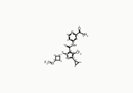 NC(=O)c1cc(NC(=O)c2c(C(F)(F)F)c(C3CC3)nn2C[C@H]2C[C@H](OC(F)(F)F)C2)ccn1